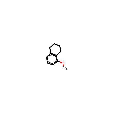 CC(C)Oc1cccc2c1CCCC2